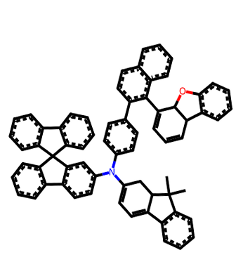 CC1(C)c2ccccc2C2=CC=C(N(c3ccc(-c4ccc5ccccc5c4C4=CC=CC5c6ccccc6OC45)cc3)c3ccc4c(c3)C3(c5ccccc5-c5ccccc53)c3ccccc3-4)CC21